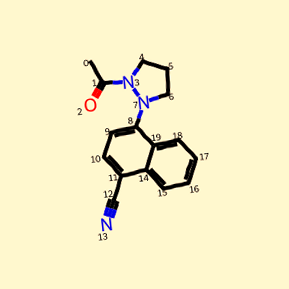 CC(=O)N1CCCN1c1ccc(C#N)c2ccccc12